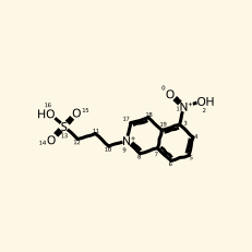 O=[N+](O)c1cccc2c[n+](CCCS(=O)(=O)O)ccc12